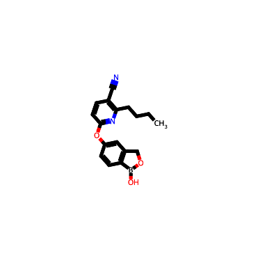 CCCCc1nc(Oc2ccc3c(c2)COB3O)ccc1C#N